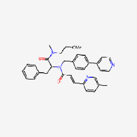 COCCN(C)C(=O)C(Cc1ccccc1)N(Cc1ccc(-c2ccncc2)cc1)C(=O)C=Cc1ccc(C)cn1